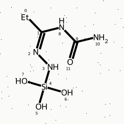 CCC(=NN[Si](O)(O)O)NC(N)=O